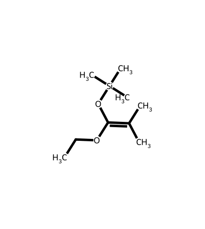 CCOC(O[Si](C)(C)C)=C(C)C